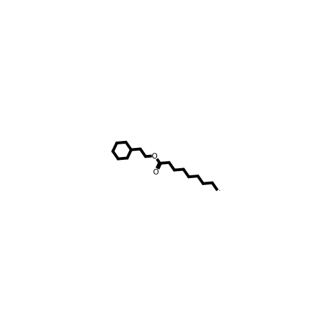 [CH2]CCCCCCCC(=O)OCCC1CCCCC1